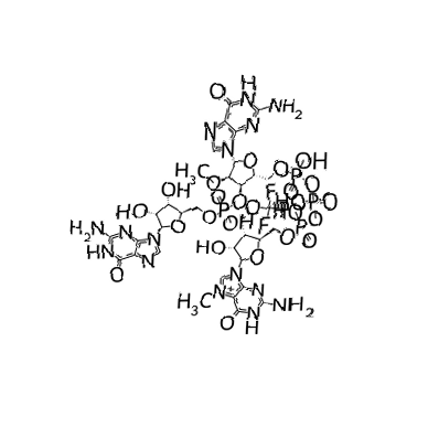 CO[C@@H]1[C@H](OP(=O)(O)OC[C@H]2O[C@@H](n3cnc4c(=O)[nH]c(N)nc43)[C@H](O)[C@@H]2O)[C@@H](COP(=O)(O)OP(=O)(O)OP(=O)(O)OC[C@H]2OC(n3c[n+](C)c4c(=O)[nH]c(N)nc43)[C@H](O)[C@@H]2COC(F)(F)F)O[C@H]1n1cnc2c(=O)[nH]c(N)nc21